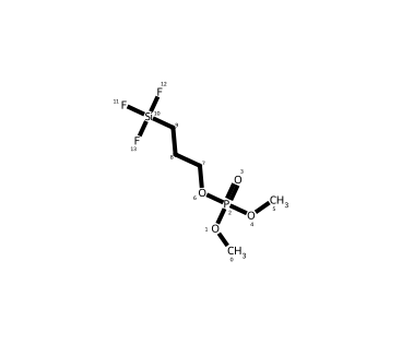 COP(=O)(OC)OCCC[Si](F)(F)F